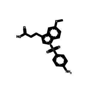 COc1ccc2c(c1)c(CCC(=O)O)cn2S(=O)(=O)c1ccc(N)cc1